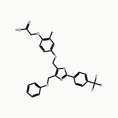 Cc1cc(SCc2sc(-c3ccc(C(F)(F)F)cc3)nc2COc2ccccc2)ccc1OCC(=O)O